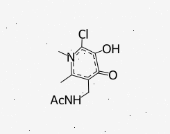 CC(=O)NCc1c(C)n(C)c(Cl)c(O)c1=O